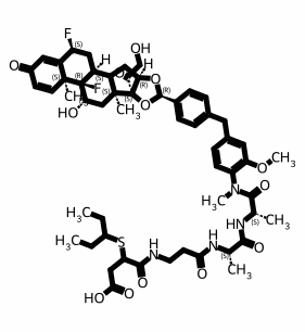 CCC(CC)SC(CC(=O)O)C(=O)NCCC(=O)N[C@@H](C)C(=O)N[C@@H](C)C(=O)N(C)c1ccc(Cc2ccc([C@@H]3O[C@@H]4CC5[C@@H]6C[C@H](F)C7=CC(=O)C=C[C@]7(C)[C@@]6(F)[C@@H](O)C[C@]5(C)[C@]4(C(=O)CO)O3)cc2)cc1OC